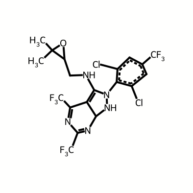 CC1(C)OC1CNC1=C2C(C(F)(F)F)=NC(C(F)(F)F)=NC2NN1c1c(Cl)cc(C(F)(F)F)cc1Cl